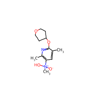 Cc1cc([N+](C)([O-])O)c(C)nc1OC1CCOCC1